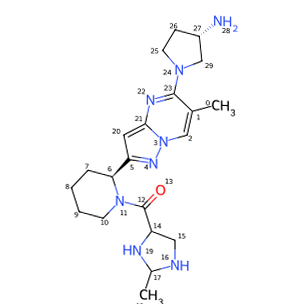 Cc1cn2nc([C@@H]3CCCCN3C(=O)C3CNC(C)N3)cc2nc1N1CC[C@H](N)C1